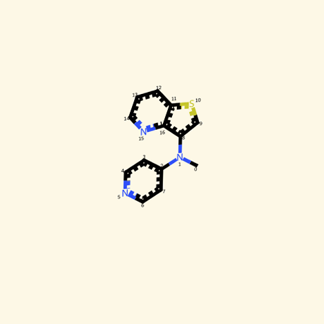 CN(c1ccncc1)c1csc2cccnc12